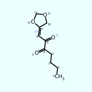 CCCCC(=O)C(=O)/C=C1\COCO1